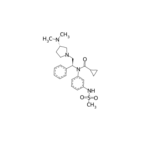 CN(C)[C@H]1CCN(C[C@H](c2ccccc2)N(C(=O)C2CC2)c2cccc(NS(C)(=O)=O)c2)C1